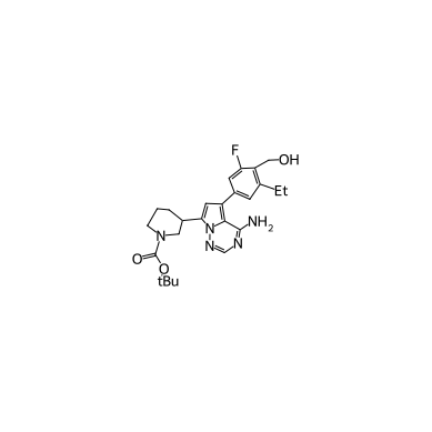 CCc1cc(-c2cc(C3CCCN(C(=O)OC(C)(C)C)C3)n3ncnc(N)c23)cc(F)c1CO